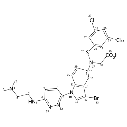 CN(C)CCNc1ccc(-n2cc(Br)c3cc(N(CC(=O)O)Sc4cc(Cl)cc(Cl)c4)ccc32)nn1